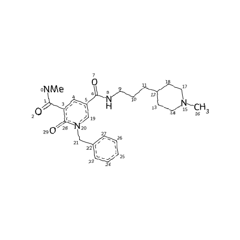 CNC(=O)c1cc(C(=O)NCCCC2CCN(C)CC2)cn(Cc2ccccc2)c1=O